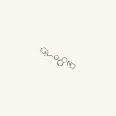 c1cc(OCCCN2CCCCC2)c2c(c1)C(N1CCCC1)CC2